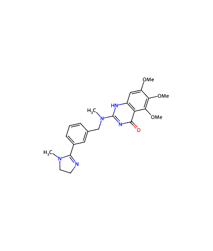 COc1cc2[nH]c(N(C)Cc3cccc(C4=NCCN4C)c3)nc(=O)c2c(OC)c1OC